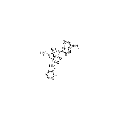 C[C@@H]1C[C@@H](C(=O)NCc2ccccc2)N(C(=O)Cn2cnc3c(N)ncnc32)[C@@H]1C